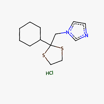 Cl.c1cn(CC2(C3CCCCC3)SCCS2)cn1